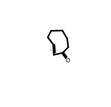 O=C1/C=C/CCCCC1